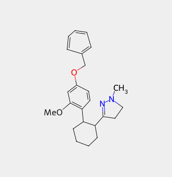 COc1cc(OCc2ccccc2)ccc1C1CCCCC1C1=NN(C)CC1